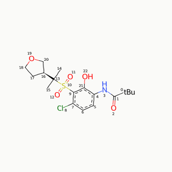 CC(C)(C)C(=O)Nc1ccc(Cl)c(S(=O)(=O)C(C)(C)[C@H]2CCOC2)c1O